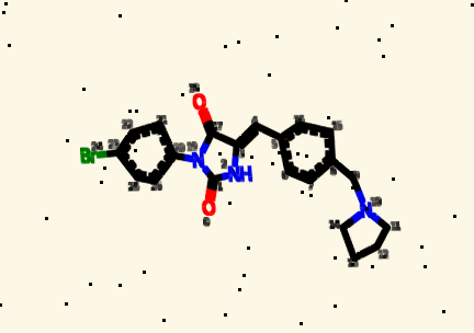 O=C1N/C(=C\c2ccc(CN3CCCC3)cc2)C(=O)N1c1ccc(Br)cc1